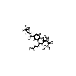 CON(C)C(=O)c1nnn(-c2ccc(C(=O)NCC(F)(F)F)cc2)c1CCCCCF